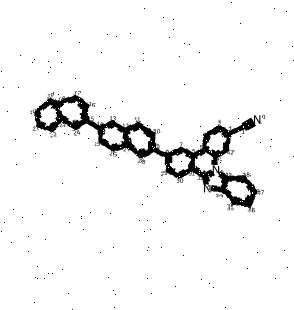 N#Cc1ccc2c3cc(-c4ccc5cc(-c6ccc7ccccc7c6)ccc5c4)ccc3c3nc4ccccc4n3c2c1